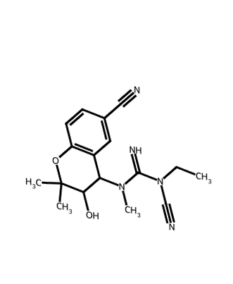 CCN(C#N)C(=N)N(C)C1c2cc(C#N)ccc2OC(C)(C)C1O